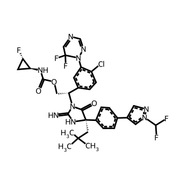 CC(C)(C)C[C@]1(c2ccc(-c3cnn(C(F)F)c3)cc2)NC(=N)N([C@H](COC(=O)N[C@H]2C[C@@H]2F)c2ccc(Cl)c(N3N=CN=CC3(F)F)c2)C1=O